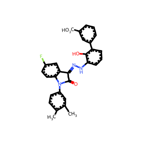 Cc1ccc(N2C(=O)C(=NNc3cccc(-c4cccc(C(=O)O)c4)c3O)c3cc(F)ccc32)cc1C